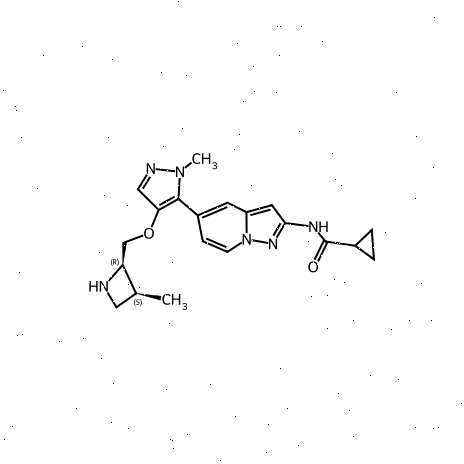 C[C@H]1CN[C@H]1COc1cnn(C)c1-c1ccn2nc(NC(=O)C3CC3)cc2c1